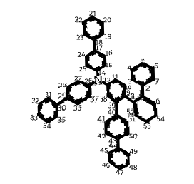 C1=C(c2ccccc2)C(c2ccc(N(c3ccc(-c4ccccc4)cc3)c3ccc(-c4ccccc4)cc3)cc2-c2ccc(-c3ccccc3)cc2)=CCC1